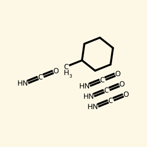 CC1CCCCC1.N=C=O.N=C=O.N=C=O.N=C=O